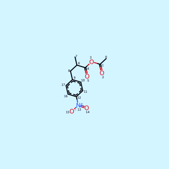 CC(=O)OC(=O)C(C)Cc1ccc([N+](=O)[O-])cc1